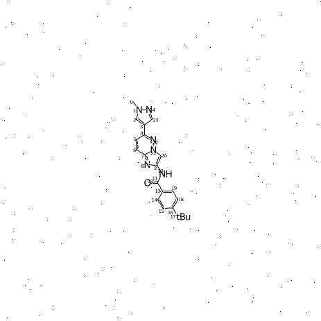 Cn1cc(-c2ccc3nc(NC(=O)c4ccc(C(C)(C)C)cc4)cn3n2)cn1